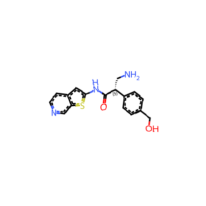 NC[C@@H](C(=O)Nc1cc2ccncc2s1)c1ccc(CO)cc1